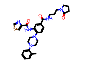 Cc1ccccc1N1CCN(c2ccc(C(=O)NCCCN3CCCC3=O)cc2NC(=O)c2cscn2)CC1